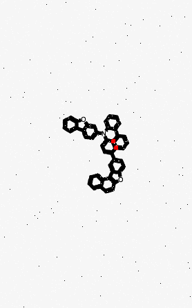 c1ccc(-c2ccccc2N(c2ccc(-c3ccc4oc5ccc6ccccc6c5c4c3)cc2)c2ccc3c(c2)oc2ccccc23)cc1